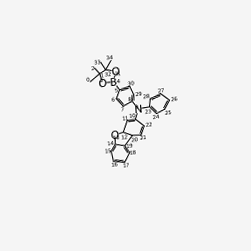 CC1(C)OB(c2ccc(N(C3=CC4Oc5ccccc5C4C=C3)c3ccccc3)cc2)OC1(C)C